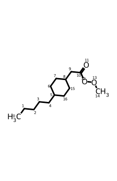 CCCCCC1CCC(CC(=O)OOC)CC1